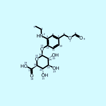 CCNc1cc(COC=O)ccc1O[C@@H]1O[C@H](C(=O)O)[C@@H](O)[C@H](O)[C@H]1O